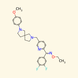 CCO/N=C(\c1ccc(F)c(F)c1)c1ccc(CN2CCC3(CCN(c4ccc(OC)cc4)C3)C2)cn1